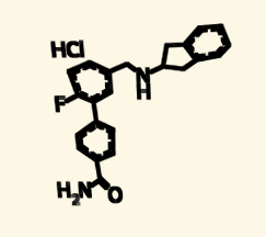 Cl.NC(=O)c1ccc(-c2cc(CNC3Cc4ccccc4C3)ccc2F)cc1